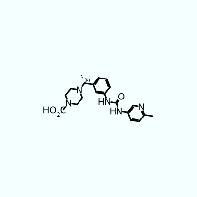 Cc1ccc(NC(=O)Nc2cccc([C@@H](C)N3CCN(C(=O)O)CC3)c2)cn1